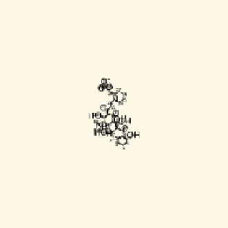 C[C@H]1c2cccc(O)c2C(=O)C2=C(O)[C@]3(O)C(=O)C(C(=O)CCN4CCCCC4CO[N+](=O)[O-])=C(O)[C@@H](N(C)C)[C@@H]3[C@@H](O)[C@@H]21